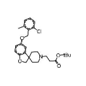 Cc1cccc(Cl)c1COc1ccc2c(c1)C1(CCN(CCC(=O)OC(C)(C)C)CC1)CO2